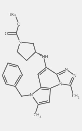 Cc1cc2c(cc(N[C@H]3CCN(C(=O)OC(C)(C)C)C3)c3nnc(C)n32)n1Cc1ccccc1